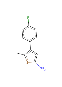 Cc1sc(N)cc1-c1ccc(F)cc1